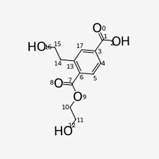 O=C(O)c1ccc(C(=O)OCCO)c(CCO)c1